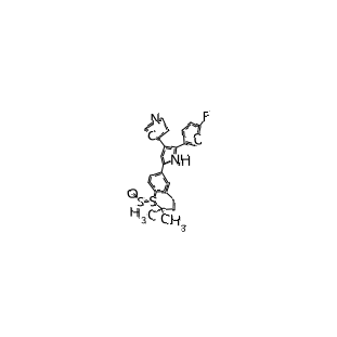 CC1(C)CCc2cc(-c3cc(-c4ccncc4)c(-c4ccc(F)cc4)[nH]3)ccc2S1=S=O